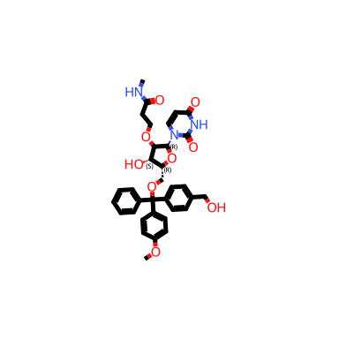 CNC(=O)CCOC1[C@@H](O)[C@@H](COC(c2ccccc2)(c2ccc(CO)cc2)c2ccc(OC)cc2)O[C@H]1n1ccc(=O)[nH]c1=O